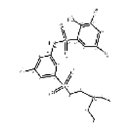 CCN(CC)CCS(=O)(=O)c1cc(Cl)cc(NS(=O)(=O)c2cc(Br)cc(Cl)c2O)c1